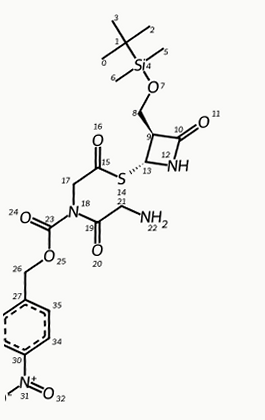 CC(C)(C)[Si](C)(C)OC[C@H]1C(=O)N[C@@H]1SC(=O)CN(C(=O)CN)C(=O)OCc1ccc([N+](=O)[O-])cc1